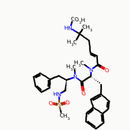 CN(C(=O)[C@@H](Cc1ccc2ccccc2c1)N(C)C(=O)/C=C/CC(C)(C)NC(=O)O)[C@@H](CNS(C)(=O)=O)Cc1ccccc1